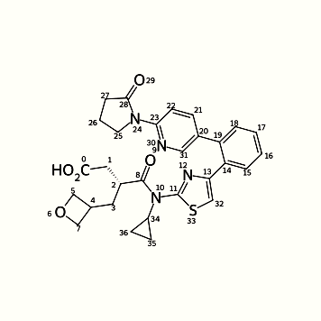 O=C(O)C[C@@H](CC1COC1)C(=O)N(c1nc(-c2ccccc2-c2ccc(N3CCCC3=O)nc2)cs1)C1CC1